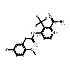 COc1ccc(F)cc1CC(=O)Nc1ccnc(C(N)=O)c1C(C)(C)C